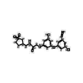 N#Cc1cc(Cl)cc(Oc2cc(Cl)cc(OCC(=O)NCC3CCS(=O)(=O)C3)c2)c1